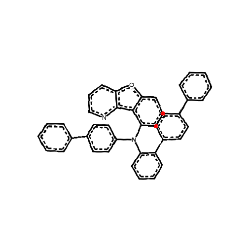 c1ccc(-c2ccc(-c3ccccc3N(c3ccc(-c4ccccc4)cc3)c3cccc4oc5cccnc5c34)cc2)cc1